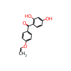 C=COc1ccc(C(=O)c2ccc(O)cc2O)cc1